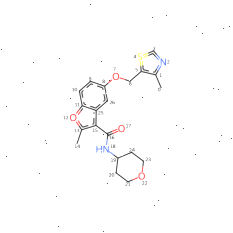 Cc1ncsc1COc1ccc2oc(C)c(C(=O)NC3CCOCC3)c2c1